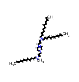 CCCCCCCCCCCCN(C)CCCN1CCN(CCCN(CCCCCCCCCCCC)CCCCCCCCCCCC)CC1